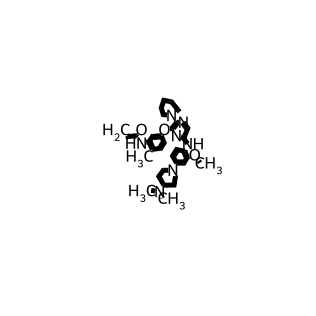 C=CC(=O)Nc1cc(Oc2nc(Nc3ccc(N4CCC(N(C)C)CC4)cc3OC)cnc2N2CCCCC2)ccc1C